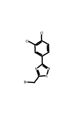 Clc1ccc(-c2nsc(CBr)n2)cc1Cl